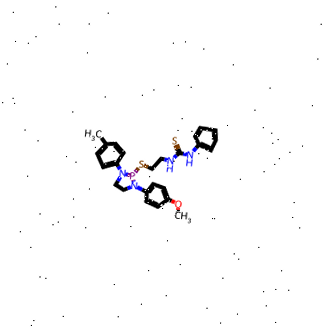 COc1ccc(N2CCN(c3ccc(C)cc3)P2SCCNC(=S)Nc2ccccc2)cc1